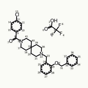 O=C(O)C(F)(F)F.O=C(c1ccc(Cl)cc1)N1CCC2(CCN(Cc3ccccc3OCc3ccccc3)CC2)CC1